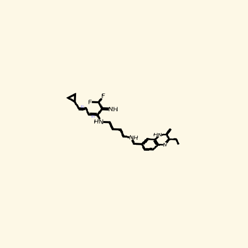 C=C1Nc2cc(CNCCCCN/C(=C/C=C/C3CC3)C(=N)C(F)F)ccc2N=C1CC